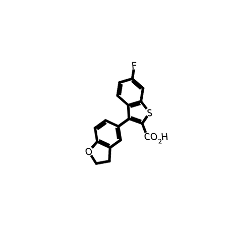 O=C(O)c1sc2cc(F)ccc2c1-c1ccc2c(c1)CCO2